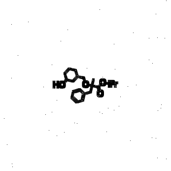 CC(C)OC(=O)C(C)(Cc1ccccc1)OC[C@@H]1CCC[C@H](O)C1